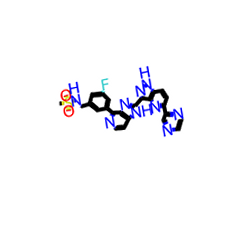 CS(=O)(=O)NCc1cc(F)cc(-c2nccc3[nH]c(-c4n[nH]c5ccc(-c6cnccn6)nc45)nc23)c1